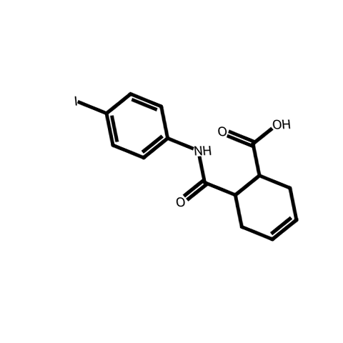 O=C(O)C1CC=CCC1C(=O)Nc1ccc(I)cc1